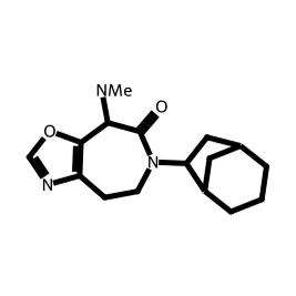 CNC1C(=O)N(C2CC3CCCC2C3)CCc2ncoc21